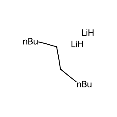 CCCCCCCCCC.[LiH].[LiH]